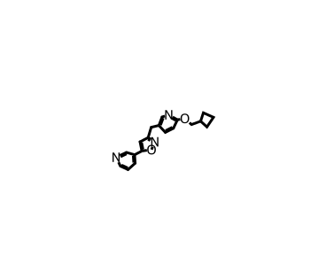 c1cncc(-c2cc(Cc3ccc(OCC4CCC4)nc3)no2)c1